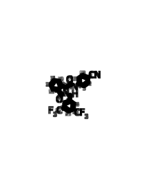 N#Cc1ccc(NC(=O)C2c3ccccc3C(=O)N2Cc2cc(C(F)(F)F)cc(C(F)(F)F)c2)cc1